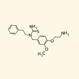 COc1cc(CN(CCc2ccccc2)C(N)=S)ccc1OCCN